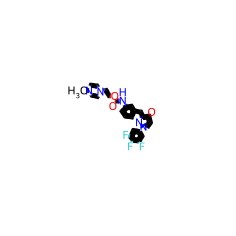 CN1CCN(CCOC(=O)Nc2cccc(Cc3nn(-c4cc(F)c(F)c(F)c4)ccc3=O)c2)CC1